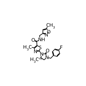 Cc1cc(CNC(=O)c2sc(N3C(=O)N(Cc4ccc(F)cc4)C[C@@H]3C)nc2C)no1